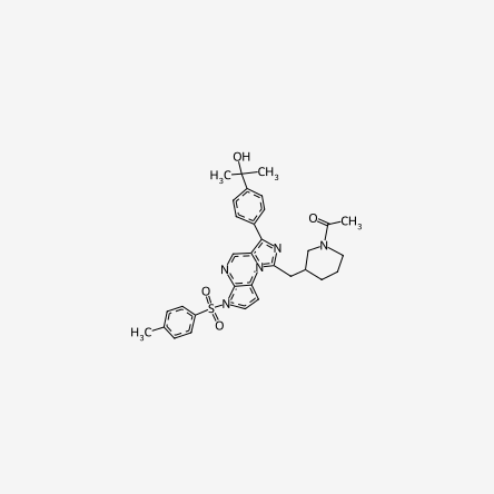 CC(=O)N1CCCC(Cc2nc(-c3ccc(C(C)(C)O)cc3)c3cnc4c(ccn4S(=O)(=O)c4ccc(C)cc4)n23)C1